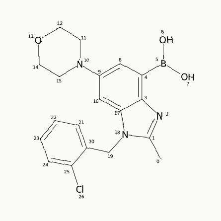 Cc1nc2c(B(O)O)cc(N3CCOCC3)cc2n1Cc1ccccc1Cl